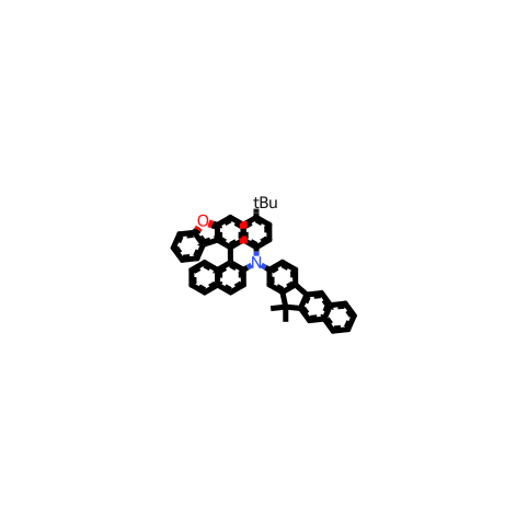 CC(C)(C)c1ccc(N(c2ccc3c(c2)C(C)(C)c2cc4ccccc4cc2-3)c2ccc3ccccc3c2-c2cccc3oc4ccccc4c23)cc1